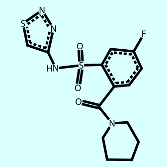 O=C(c1ccc(F)cc1S(=O)(=O)Nc1csnn1)N1CCCCC1